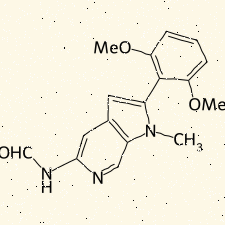 COc1cccc(OC)c1-c1cc2cc(NC=O)ncc2n1C